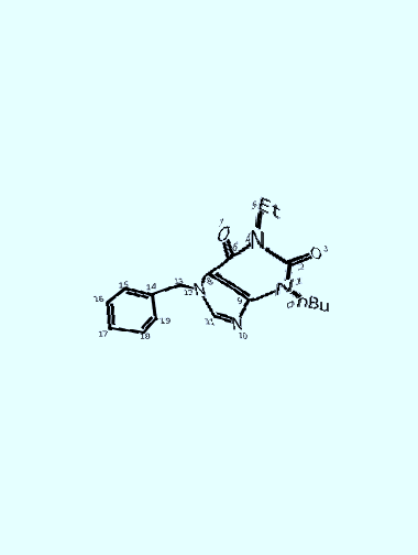 CCCCn1c(=O)n(CC)c(=O)c2c1ncn2Cc1ccccc1